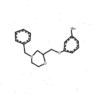 CC(C)(C)c1cccc(OCC2CN(Cc3ccccc3)CCO2)c1